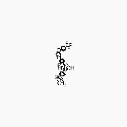 CCS(=O)(=O)c1ccc([C@H](CO)NC(=O)c2ccc(N3CC[C@H](Oc4ccc(C(F)(F)F)cc4)C3)cc2F)cc1